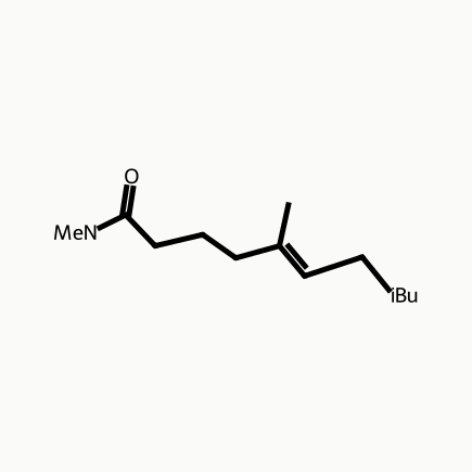 CCC(C)C/C=C(\C)CCCC(=O)NC